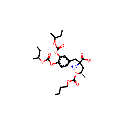 CCCCOC(=O)O[C@@H](C)CC(N)(Cc1ccc(OC(=O)OC(C)CC)c(OC(=O)OC(C)CC)c1)C(=O)O